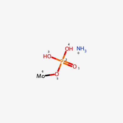 N.O=P(O)(O)[O][Mo]